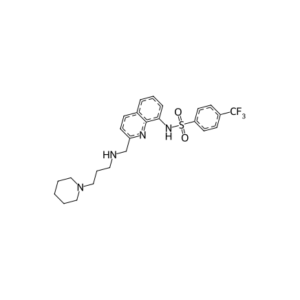 O=S(=O)(Nc1cccc2ccc(CNCCCN3CCCCC3)nc12)c1ccc(C(F)(F)F)cc1